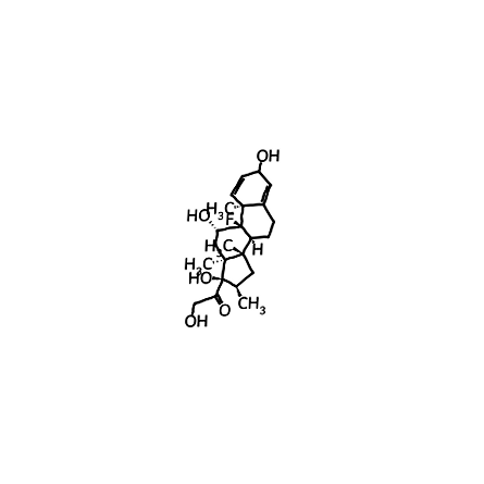 C[C@@H]1C[C@@]2(C)[C@@H]3CCC4=CC(O)C=C[C@]4(C)[C@@]3(F)[C@@H](O)C[C@]2(C)[C@@]1(O)C(=O)CO